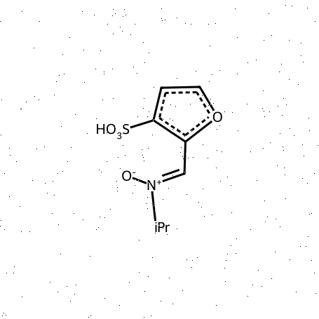 CC(C)[N+]([O-])=Cc1occc1S(=O)(=O)O